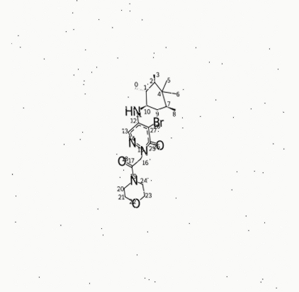 C[C@@H]1[C@@H](C)C(C)(C)[C@@H](C)C[C@H]1Nc1cnn(CC(=O)N2CCOCC2)c(=O)c1Br